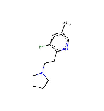 Cc1cnc(CCN2CCCC2)c(F)c1